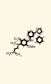 COc1cc(N(C)CCN(C)C)c([N+](=O)[O-])cc1Nc1cc(N2OCC[C@@H]2c2ccccc2)ncn1